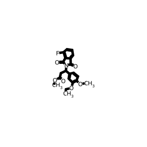 CCOc1cc(C(CC(=O)OC)N2C(=O)c3cccc(F)c3C2=O)ccc1OC